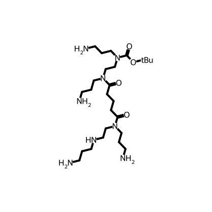 CC(C)(C)OC(=O)N(CCCN)CCN(CCCN)C(=O)CCCC(=O)N(CCCN)CCNCCCN